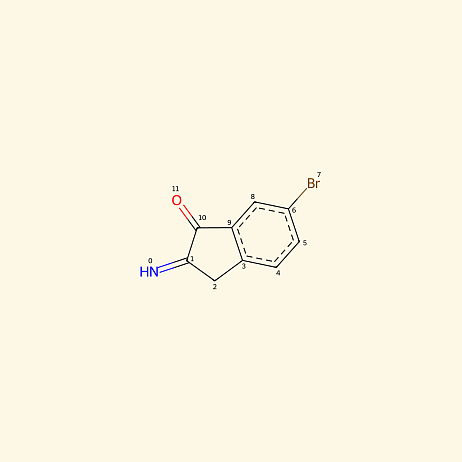 N=C1Cc2ccc(Br)cc2C1=O